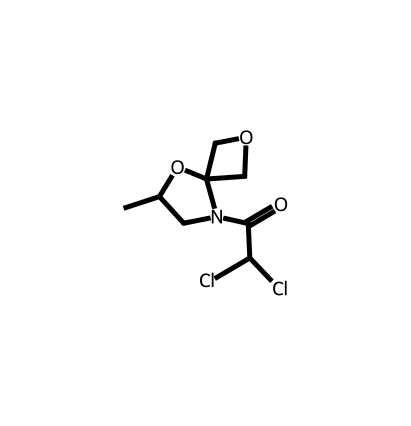 CC1CN(C(=O)C(Cl)Cl)C2(COC2)O1